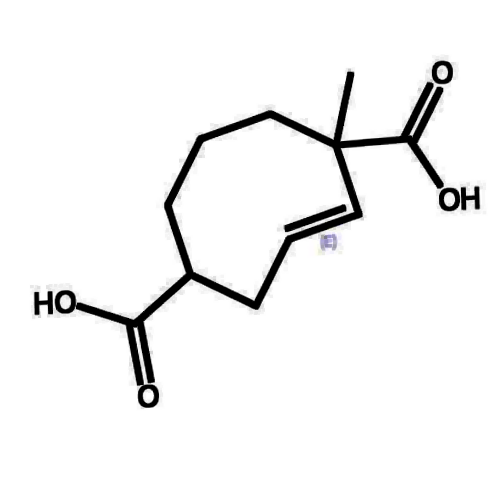 CC1(C(=O)O)/C=C/CC(C(=O)O)CCC1